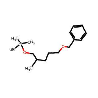 CC(CCCOCc1ccccc1)CO[Si](C)(C)C(C)(C)C